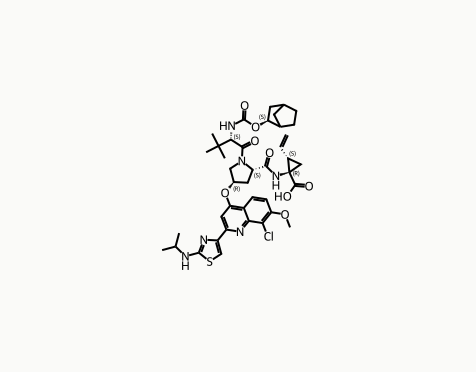 C=C[C@@H]1C[C@]1(NC(=O)[C@@H]1C[C@@H](Oc2cc(-c3csc(NC(C)C)n3)nc3c(Cl)c(OC)ccc23)CN1C(=O)[C@@H](NC(=O)O[C@H]1CC2CCC1C2)C(C)(C)C)C(=O)O